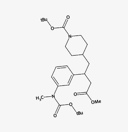 COC(=O)CC(CC1CCN(C(=O)OC(C)(C)C)CC1)c1cccc(N(C)C(=O)OC(C)(C)C)c1